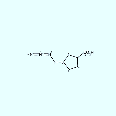 [N-]=[N+]=NCC1CCC(C(=O)O)C1